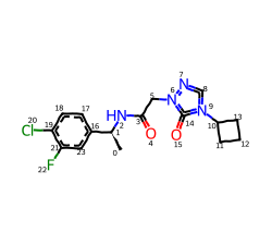 C[C@H](NC(=O)Cn1ncn(C2CCC2)c1=O)c1ccc(Cl)c(F)c1